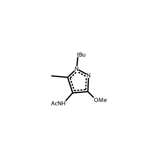 COc1nn(C(C)(C)C)c(C)c1NC(C)=O